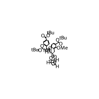 COc1c(C[C@H](NC(=O)C(NC(=O)OC(C)(C)C)c2ccc(C(=O)OC(C)(C)C)cc2)B2O[C@@H]3C[C@@H]4C[C@@H](C4(C)C)[C@]3(C)O2)cccc1C(=O)OC(C)(C)C